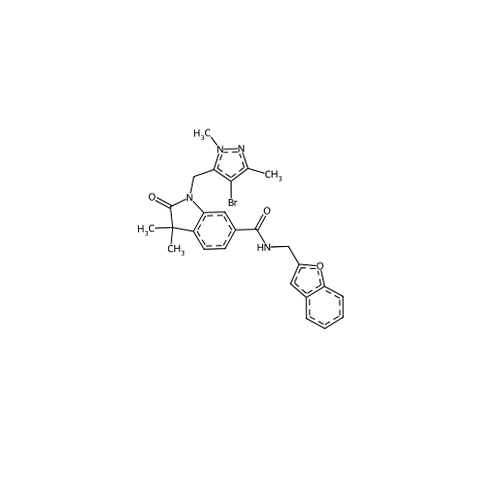 Cc1nn(C)c(CN2C(=O)C(C)(C)c3ccc(C(=O)NCc4cc5ccccc5o4)cc32)c1Br